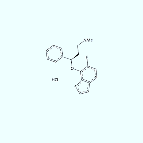 CNCC[C@@H](Oc1c(F)ccc2ccsc12)c1ccccc1.Cl